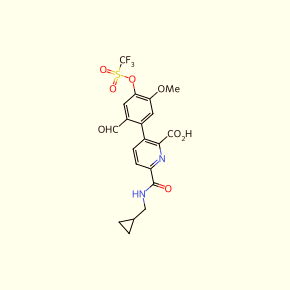 COc1cc(-c2ccc(C(=O)NCC3CC3)nc2C(=O)O)c(C=O)cc1OS(=O)(=O)C(F)(F)F